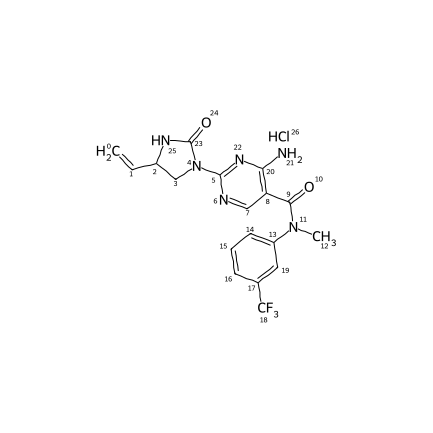 C=CC1CN(c2ncc(C(=O)N(C)c3cccc(C(F)(F)F)c3)c(N)n2)C(=O)N1.Cl